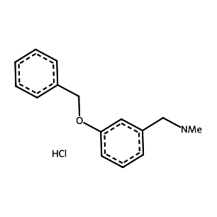 CNCc1cccc(OCc2ccccc2)c1.Cl